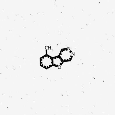 Cc1cccc2oc3cnncc3c12